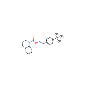 CC(C)(C)c1ccc(C=NOC(=O)N2CCCc3ccccc32)cc1